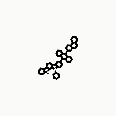 c1ccc(-n2c3ccc(-c4c5ccccc5c(-c5ccc6c(ccc7ccccc76)c5)c5ccccc45)cc3c3ccc4c5ccccc5oc4c32)cc1